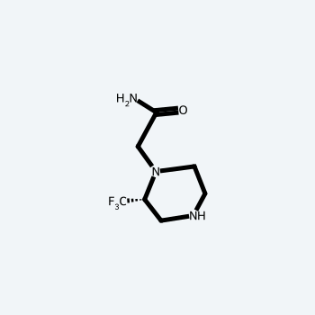 NC(=O)CN1CCNC[C@@H]1C(F)(F)F